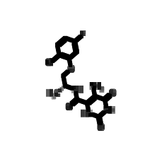 C[C@H](COc1cc(F)ccc1Cl)NC(=O)c1[nH]c(=O)[nH]c(=O)c1N